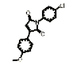 COc1ccc(C2=CC(=O)N(c3ccc(Cl)cc3)C2=O)cc1